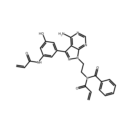 C=CC(=O)Nc1cc(O)cc(-c2nn(CCN(C(=O)C=C)C(=O)c3ccccc3)c3ncnc(N)c23)c1